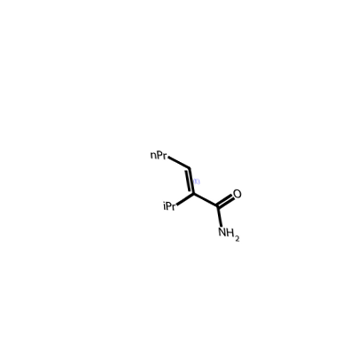 CCC/C=C(/C(N)=O)C(C)C